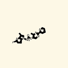 Cc1nc(-c2ccccn2)ncc1OC(=O)Nn1cc(C)c2nc(F)ccc21